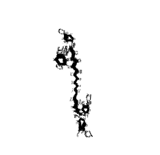 Clc1ccc(/N=C(/CCCCCCCCCCCCCCCC/C(=N/c2ccc(Cl)cc2)Nc2ccc(Cl)cc2)Nc2ccc(Cl)cc2)cc1